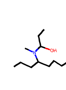 CCCCC(CCC)N(C)C(O)CC